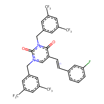 O=c1c(/C=C/c2cccc(F)c2)cn(Cc2cc(C(F)(F)F)cc(C(F)(F)F)c2)c(=O)n1Cc1cc(C(F)(F)F)cc(C(F)(F)F)c1